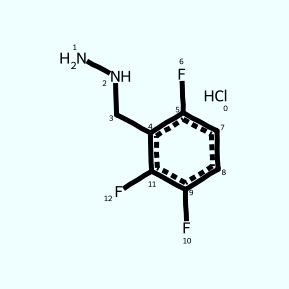 Cl.NNCc1c(F)ccc(F)c1F